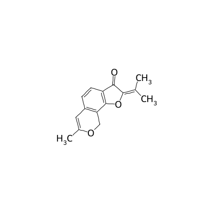 CC1=Cc2ccc3c(c2CO1)OC(=C(C)C)C3=O